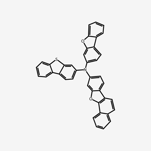 c1ccc2c(c1)ccc1c3ccc(N(c4ccc5c(c4)oc4ccccc45)c4ccc5c(c4)sc4ccccc45)cc3oc21